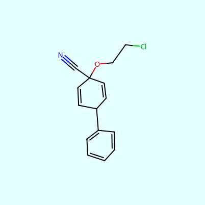 N#CC1(OCCCl)C=CC(c2ccccc2)C=C1